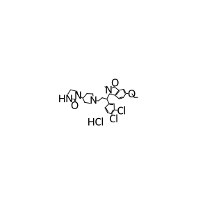 CCOc1ccc2c(c1)C(=O)N(C)C2C(CCN1CCC(N2CCCNC2=O)CC1)c1ccc(Cl)c(Cl)c1.Cl